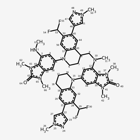 CNc1cc(N2CCC(CN(C)c3cc(N4CCCc5cc(-c6cnn(C)c6)c(C(F)F)cc54)cc4c3n(C)c(=O)n4C)c3cc(-c4cnn(C)c4)c(C(F)F)cc32)cc2c1n(C)c(=O)n2C